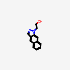 OCCn1ncc2cc3ccccc3cc21